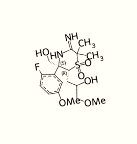 COCC(O)C[C@@H]1[C@@](CO)(c2cc(OC)ccc2F)NC(=N)C(C)(C)S1(=O)=O